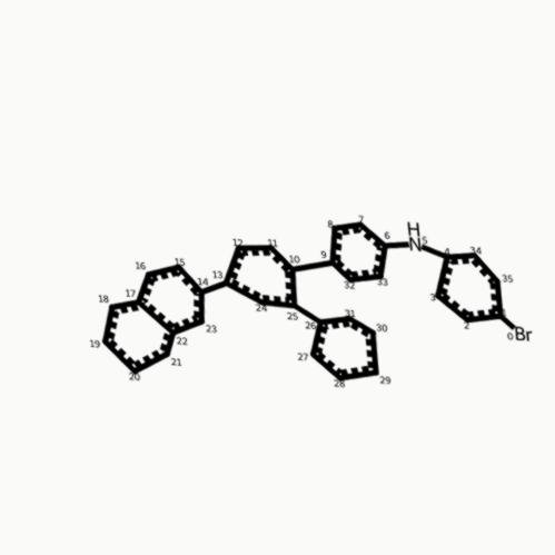 Brc1ccc(Nc2ccc(-c3ccc(-c4ccc5ccccc5c4)cc3-c3ccccc3)cc2)cc1